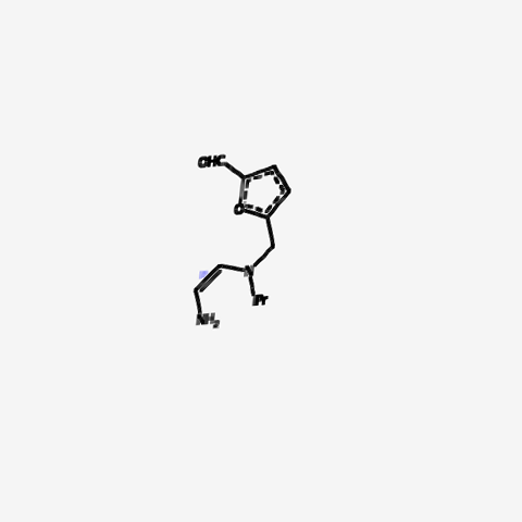 CC(C)N(/C=C\N)Cc1ccc(C=O)o1